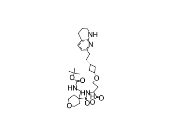 CC(C)(C)OC(=O)NCC1(C(=O)NC(CCO[C@H]2C[C@@H](CCc3ccc4c(n3)NCCC4)C2)C(=O)O)CCOCC1